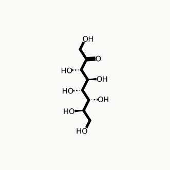 O=C(CO)[C@@H](O)[C@@H](O)[C@@H](O)[C@H](O)[C@H](O)CO